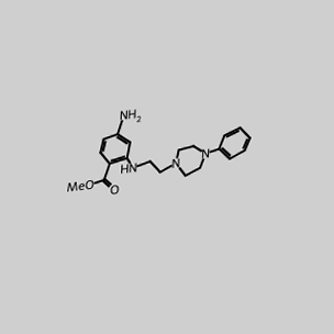 COC(=O)c1ccc(N)cc1NCCN1CCN(c2ccccc2)CC1